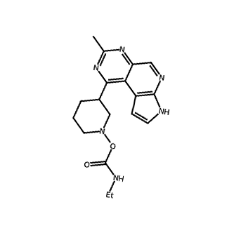 CCNC(=O)ON1CCCC(c2nc(C)nc3cnc4[nH]ccc4c23)C1